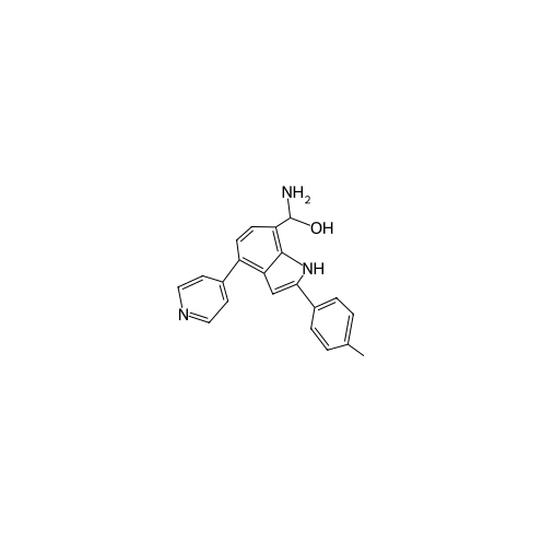 Cc1ccc(-c2cc3c(-c4ccncc4)ccc(C(N)O)c3[nH]2)cc1